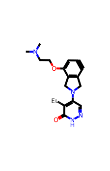 CCc1c(N2Cc3c#ccc(OCCN(C)C)c3C2)cn[nH]c1=O